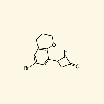 O=C1CC(c2cc(Br)cc3c2OCCC3)N1